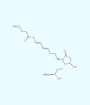 CCCCC[C@H](O)CC[C@H]1[C@H](O)CC(=O)[C@@H]1CCC/C=C/C=C/OC(=O)CCC(=O)O